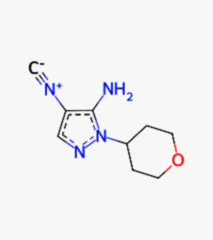 [C-]#[N+]c1cnn(C2CCOCC2)c1N